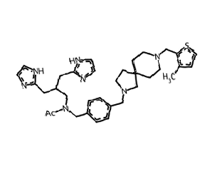 CC(=O)N(Cc1ccc(CN2CCC3(CCN(Cc4sccc4C)CC3)C2)cc1)CC(Cc1ncc[nH]1)Cc1ncc[nH]1